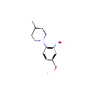 CC1CCN(c2ccc(CO)cc2N=O)CC1